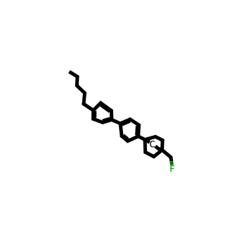 CCCCCc1ccc(-c2ccc(C34CCC(CF)(CC3)CC4)cc2)cc1